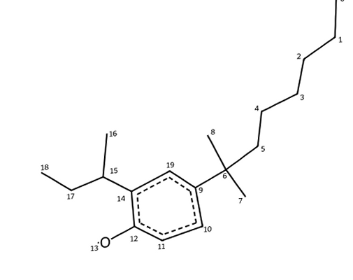 CCCCCCC(C)(C)c1ccc([O])c(C(C)CC)c1